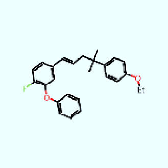 CCOc1ccc(C(C)(C)C/C=C/c2ccc(F)c(Oc3ccccc3)c2)cc1